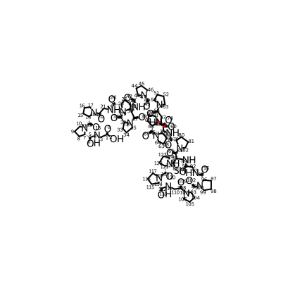 O=C(O)CNC(=O)[C@@H]1CCCN1C(=O)[C@@H]1CCCN1C(=O)CNC(=O)[C@@H]1CCCN1C(=O)[C@@H]1CCCN1C(=O)CNC(=O)[C@@H]1CCCN1C(=O)[C@@H]1CCCN1C(=O)CNC(=O)[C@@H]1CCCN1C(=O)[C@@H]1CCCN1C(=O)CNC(=O)[C@@H]1CCCN1C(=O)[C@H](CS)NC(=O)CNC(=O)[C@@H]1CCCN1C(=O)[C@@H]1CCCN1C(=O)CNC(=O)[C@@H]1CCCN1C(=O)[C@@H]1CCCN1